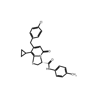 Cc1ccc(NC(=O)[C@@H]2CSc3c(C4CC4)c(Cc4ccc(Cl)cc4)cc(=O)n32)cc1